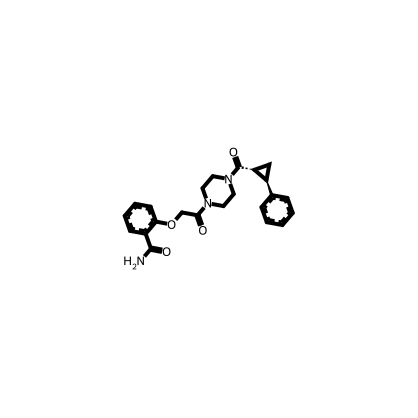 NC(=O)c1ccccc1OCC(=O)N1CCN(C(=O)[C@@H]2C[C@H]2c2ccccc2)CC1